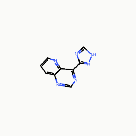 c1cnc2c(-c3nc[nH]n3)ncnc2c1